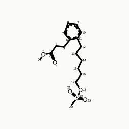 COC(=O)CCc1ccccc1CCCCCCOS(C)(=O)=O